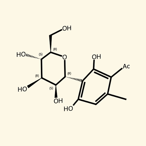 CC(=O)c1c(C)cc(O)c([C@H]2O[C@H](CO)[C@@H](O)[C@H](O)[C@@H]2O)c1O